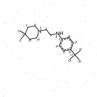 CC1(C)CCN(CCNc2ccc(C(C)(C)C)cc2)CC1